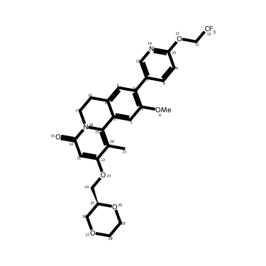 COc1cc2c(cc1-c1ccc(OCC(F)(F)F)nc1)CCn1c-2c(C)c(OC[C@@H]2COCCO2)cc1=O